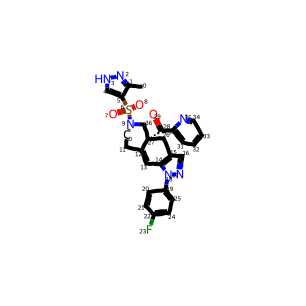 Cc1n[nH]cc1S(=O)(=O)N1CCC2=Cc3c(cnn3-c3ccc(F)cc3)C[C@]2(C(=O)c2ccccn2)C1